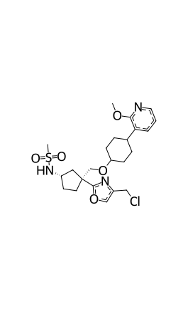 COc1ncccc1C1CCC(OC[C@]2(c3nc(CCl)co3)CC[C@H](NS(C)(=O)=O)C2)CC1